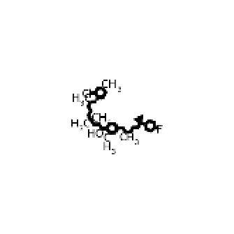 CC(CCCC1(C2CCC(F)CC2)CC1)CC1CCC(C(O)CCC(C)(C)CCCC(C)C[C@@H]2CCC(C)CC2Cl)C(C)C1